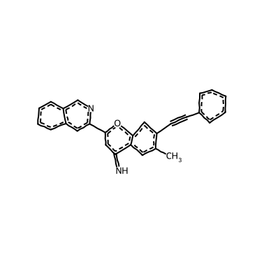 Cc1cc2c(=N)cc(-c3cc4ccccc4cn3)oc2cc1C#Cc1ccccc1